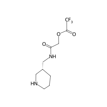 O=C(COC(=O)C(F)(F)F)NC[C@@H]1CCCNC1